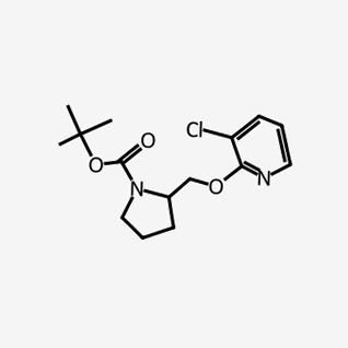 CC(C)(C)OC(=O)N1CCCC1COc1ncccc1Cl